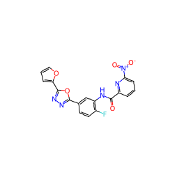 O=C(Nc1cc(-c2nnc(-c3ccco3)o2)ccc1F)c1cccc([N+](=O)[O-])n1